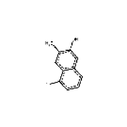 Cc1cc2c(Cl)cccc2cc1O